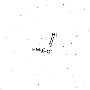 [MgH+].[OH-].[O]=[Hf]